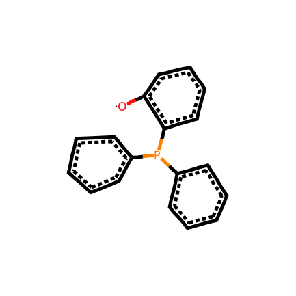 [O]c1ccccc1P(c1ccccc1)c1ccccc1